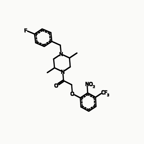 CC1CN(C(=O)COc2cccc(C(F)(F)F)c2[N+](=O)[O-])C(C)CN1Cc1ccc(F)cc1